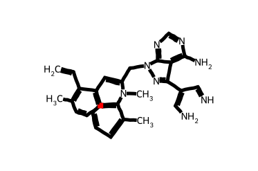 C=Cc1c(C)cccc1/C=C(/Cn1nc(/C(C=N)=C/N)c2c(N)ncnc21)N(C)c1ccccc1C